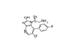 CC[C@@H](CN)n1c(O)nc2ncc(Cl)c(-c3ccc(F)cc3)c21